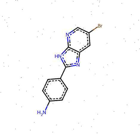 Nc1ccc(-c2nc3cc(Br)cnc3[nH]2)cc1